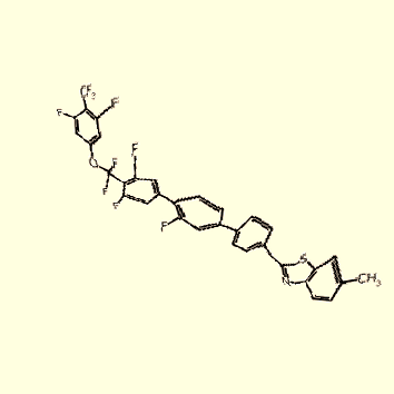 Cc1ccc2nc(-c3ccc(-c4ccc(-c5cc(F)c(C(F)(F)Oc6cc(F)c(C(F)(F)F)c(F)c6)c(F)c5)c(F)c4)cc3)sc2c1